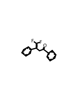 O=C(CC(=C(F)F)c1ccccc1)c1ccccc1